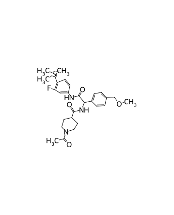 COCc1ccc(C(NC(=O)C2CCN(C(C)=O)CC2)C(=O)Nc2ccc([Si](C)(C)C)c(F)c2)cc1